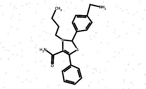 CCCCN1C(C(N)=O)=C(c2ccccc2)SC1c1ccc(CN)cc1